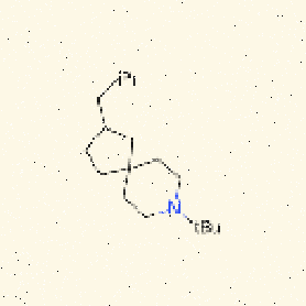 CC(C)CC1CCC2(CCN(C(C)(C)C)CC2)C1